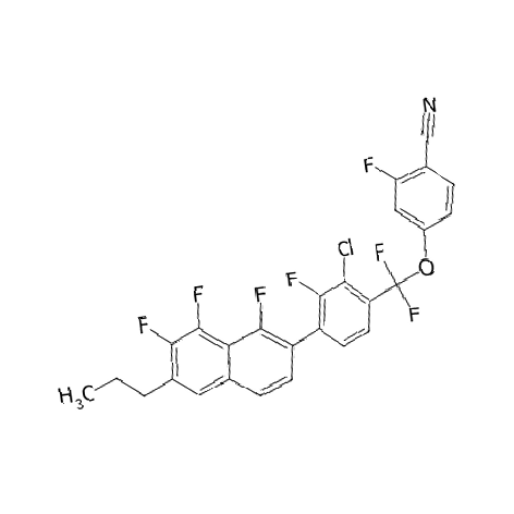 CCCc1cc2ccc(-c3ccc(C(F)(F)Oc4ccc(C#N)c(F)c4)c(Cl)c3F)c(F)c2c(F)c1F